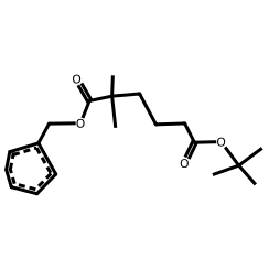 CC(C)(C)OC(=O)CCCC(C)(C)C(=O)OCc1ccccc1